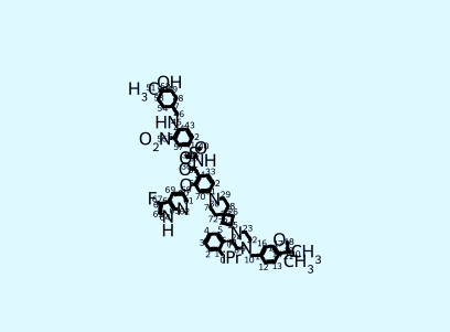 CC(C)c1ccccc1[C@@H]1CN(Cc2ccc3c(c2)OCC3(C)C)CCN1C1CC2(CCN(c3ccc(C(=O)NS(=O)(=O)c4ccc(NCC5CCC(C)(O)CC5)c([N+](=O)[O-])c4)c(Oc4cnc5[nH]cc(F)c5c4)c3)CC2)C1